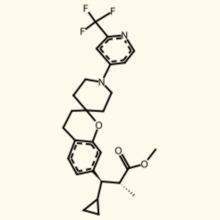 COC(=O)[C@H](C)[C@H](c1ccc2c(c1)OC1(CC2)CCN(c2ccnc(C(F)(F)F)c2)CC1)C1CC1